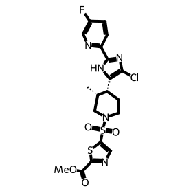 COC(=O)c1ncc(S(=O)(=O)N2CC[C@@H](c3[nH]c(-c4ccc(F)cn4)nc3Cl)[C@@H](C)C2)s1